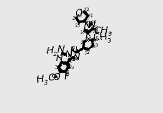 COc1cc2nc(N)n3nc(C4CCC(C)N(c5cn(C6CCOCC6)nc5C)C4)nc3c2cc1F